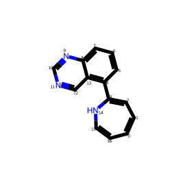 C1=CC=C(c2cccc3ncncc23)NC=C1